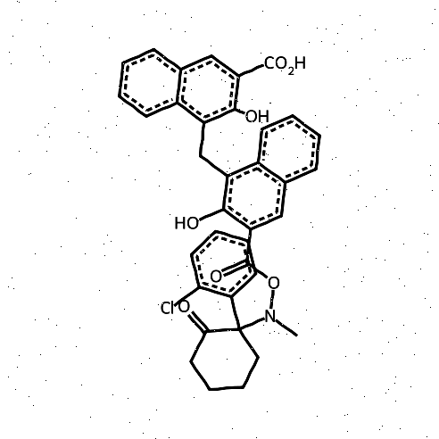 CN(OC(=O)c1cc2ccccc2c(Cc2c(O)c(C(=O)O)cc3ccccc23)c1O)C1(c2ccccc2Cl)CCCCC1=O